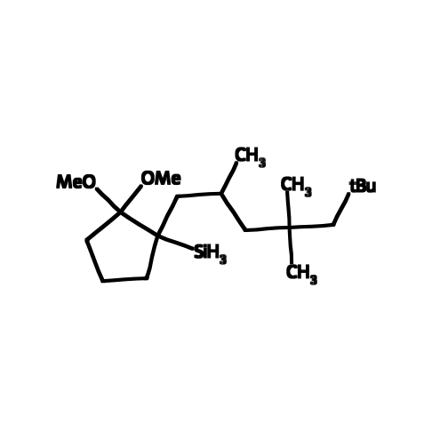 COC1(OC)CCCC1([SiH3])CC(C)CC(C)(C)CC(C)(C)C